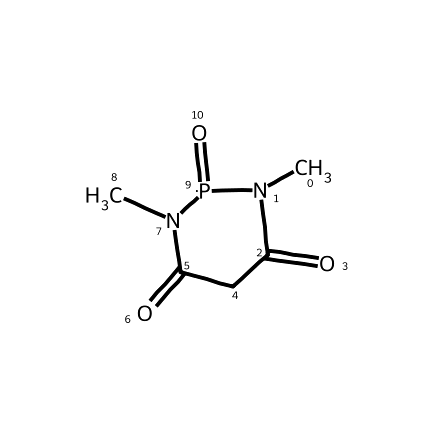 CN1C(=O)CC(=O)N(C)[P]1=O